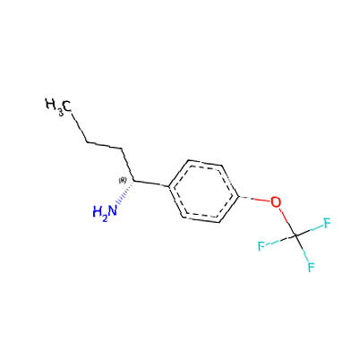 CCC[C@@H](N)c1ccc(OC(F)(F)F)cc1